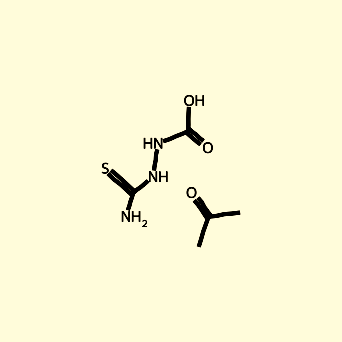 CC(C)=O.NC(=S)NNC(=O)O